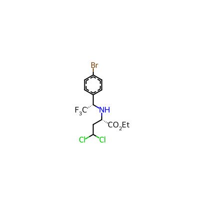 CCOC(=O)[C@H](CC(Cl)Cl)N[C@@H](c1ccc(Br)cc1)C(F)(F)F